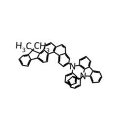 CC1(C)c2ccccc2-c2ccc3c(ccc4ccc5cc(N(c6ccccc6)c6cccc7c8ccccc8n(-c8ccccc8)c67)ccc5c43)c21